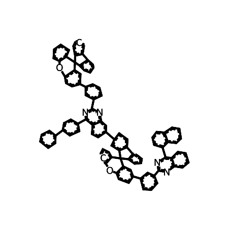 c1ccc(-c2ccc(-c3nc(-c4cccc(-c5ccc6c(c5)C5(c7ccccc7O6)c6ccccc6-c6ccccc65)c4)nc4cc(-c5ccc6c(c5)C5(c7ccccc7Oc7ccc(-c8cccc(-c9nc(-c%10cccc%11ccccc%10%11)c%10ccccc%10n9)c8)cc75)c5ccccc5-6)ccc34)cc2)cc1